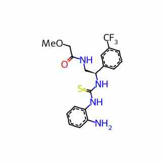 COCC(=O)NC[C@H](NC(=S)Nc1ccccc1N)c1cccc(C(F)(F)F)c1